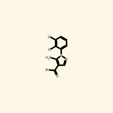 CC(C)C(=O)c1cnn(-c2cccc(Cl)c2Cl)c1N